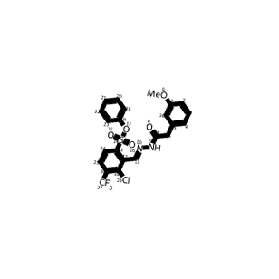 COc1cccc(CC(=O)N/N=C/c2c(S(=O)(=O)Oc3ccccc3)ccc(C(F)(F)F)c2Cl)c1